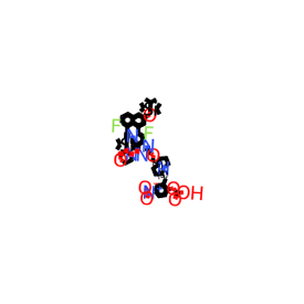 CC(C)[Si](C#Cc1c(F)ccc2cc(O[Si](C(C)C)(C(C)C)C(C)C)cc(-c3ncc4c(N5CCOCC5)nc(OC[C@@]56CCCN5[C@H](Cc5cc([N+](=O)[O-])ccc5OC(=O)O)CC6)nc4c3F)c12)(C(C)C)C(C)C